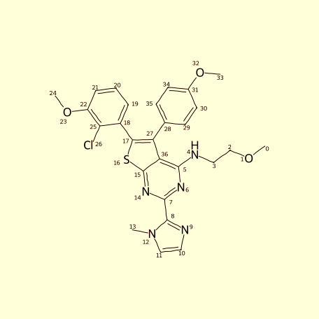 COCCNc1nc(-c2nccn2C)nc2sc(-c3cccc(OC)c3Cl)c(-c3ccc(OC)cc3)c12